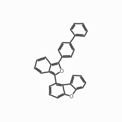 c1ccc(-c2ccc(-c3oc(-c4cccc5oc6ccccc6c45)c4ccccc34)cc2)cc1